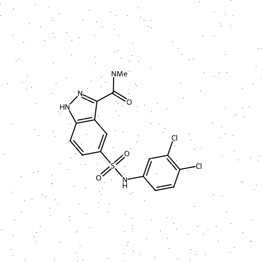 CNC(=O)c1n[nH]c2ccc(S(=O)(=O)Nc3ccc(Cl)c(Cl)c3)cc12